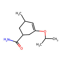 CC1C=C(OC(C)C)CC(C(N)=O)C1